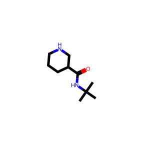 CC(C)(C)NC(=O)C1CCCNC1